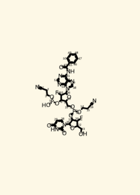 N#CCCOP(O)OC1C(COP(OCCC#N)OC2C(F)C(CO)OC2n2ccc(=O)[nH]c2=O)OC(n2cnc3c(NC(=O)c4ccccc4)ncnc32)C1F